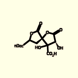 CCCCCCCCCCC1C[C@]2(OC(=O)[C@H](O)C2(O)C(=O)O)C(=O)O1